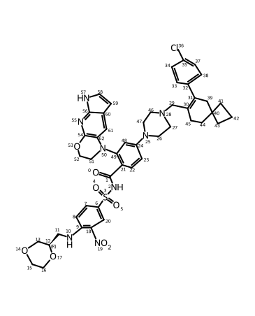 O=C(NS(=O)(=O)c1ccc(NC[C@@H]2COCCO2)c([N+](=O)[O-])c1)c1ccc(N2CCN(CC3=C(c4ccc(Cl)cc4)CC4(CCC4)CC3)CC2)cc1N1CCOc2nc3[nH]ccc3cc21